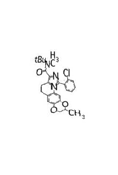 CC1COc2cc3c(cc2O1)-n1c(-c2ccccc2Cl)nc(C(=O)N(C)C(C)(C)C)c1CC3